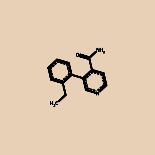 CCc1ccccc1-c1cnccc1C(N)=O